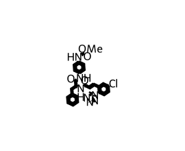 COC(=O)Nc1ccc(NC(=O)C(Cc2ccccc2)NC(=O)C=Cc2cc(Cl)ccc2-n2cnnn2)cc1